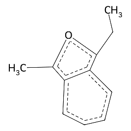 CCc1oc(C)c2ccccc12